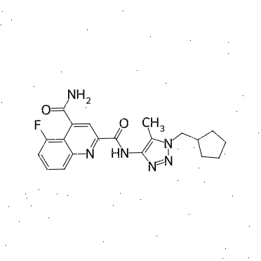 Cc1c(NC(=O)c2cc(C(N)=O)c3c(F)cccc3n2)nnn1CC1CCCC1